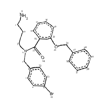 NCCCN(Cc1ccc(Br)cc1)C(=O)c1ccccc1OCc1ccccc1